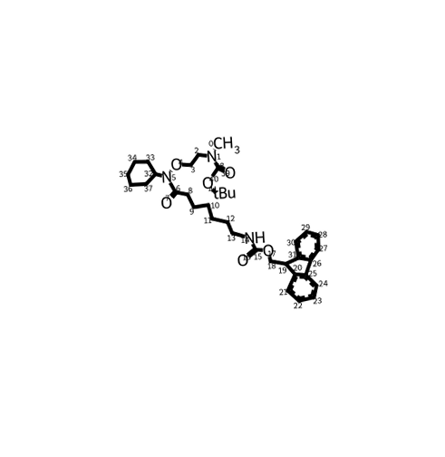 CN(CCON(C(=O)CCCCCCNC(=O)OCC1c2ccccc2-c2ccccc21)C1CCCCC1)C(=O)OC(C)(C)C